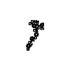 CCn1cncc1CNc1cc(C(=O)OC)ccc1NC(=O)CN1CCC(Oc2cccc(COc3ccc(Br)cc3F)n2)CC1